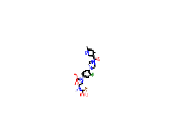 Cc1ccc(C(=O)N2CCN(c3ccc(N4CC(N(C)C(O)=S)OC4=O)cc3F)CC2)cn1